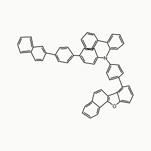 c1ccc(-c2ccccc2N(c2ccc(-c3ccc(-c4ccc5ccccc5c4)cc3)cc2)c2ccc(-c3cccc4oc5c6ccccc6ccc5c34)cc2)cc1